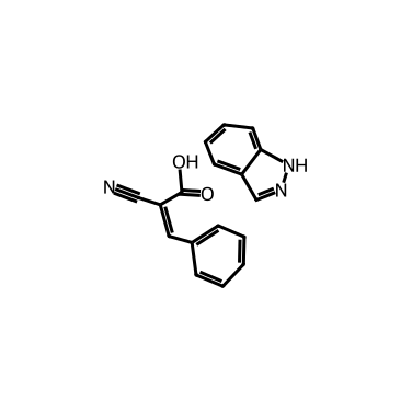 N#CC(=Cc1ccccc1)C(=O)O.c1ccc2[nH]ncc2c1